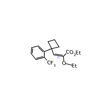 CCOC(=O)/C(=C\C1(c2ccccc2C(F)(F)F)CCC1)OCC